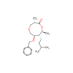 CC(C)CC[C@H]1[C@H](C)OC(=O)[C@@H](C)COC[C@@H]1OCc1ccccc1